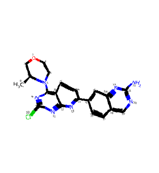 C[C@H]1COCCN1c1nc(Cl)nc2nc(-c3ccc4cnc(N)nc4c3)ccc12